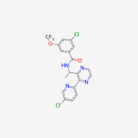 CC(NC(=O)c1cc(Cl)cc(OC(F)(F)F)c1)c1nccnc1-c1ccc(Cl)cn1